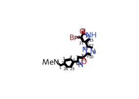 CNCc1ccc(-c2cc(-c3cncc(-c4c[nH]c(=O)c(Br)c4)n3)on2)cc1